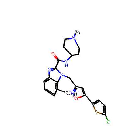 CC(C)N1CCC(NC(=O)c2nc3cccc(C(=O)O)c3n2Cc2cc(-c3ccc(Cl)s3)on2)CC1